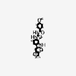 COc1ccc(C(=O)NC(=O)Nc2ccc3c(c2)NC(=O)C3=Cc2ccco2)cc1